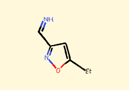 CCc1cc(C=N)no1